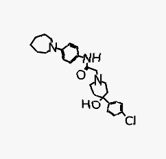 O=C(CN1CCC(O)(c2ccc(Cl)cc2)CC1)Nc1ccc(N2CCCCCC2)cc1